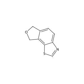 [c]1nc2ccc3c(c2s1)COC3